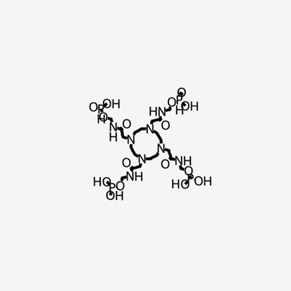 O=C(CN1CCN(CC(=O)NCOP(O)O)CCN(CC(=O)NCO[PH](=O)O)CCN(CC(=O)NCO[PH](=O)O)CC1)NCOP(O)O